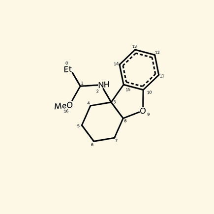 CCC(NC12CCCCC1Oc1ccccc12)OC